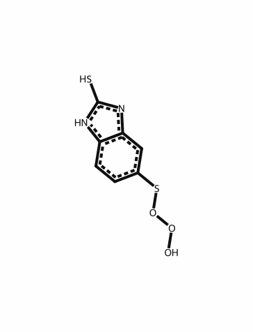 OOOSc1ccc2[nH]c(S)nc2c1